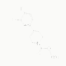 CC(C)(C)OC(=O)N1CC=C(c2ccc(F)c(C(F)(F)F)c2)CC1